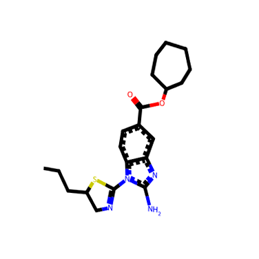 CCCC1CN=C(n2c(N)nc3cc(C(=O)OC4CCCCCC4)ccc32)S1